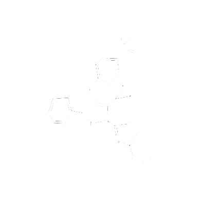 CCOC(=O)c1csc(-n2nc(-c3ccccc3)c(Cc3ccc(S(=O)O)cc3)c2C2CC2)n1